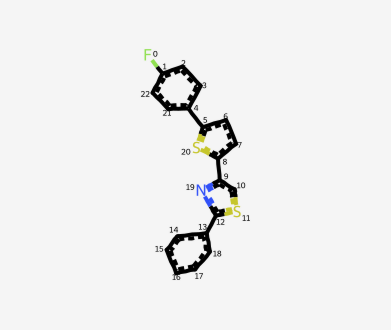 Fc1ccc(-c2ccc(-c3csc(-c4ccccc4)n3)s2)cc1